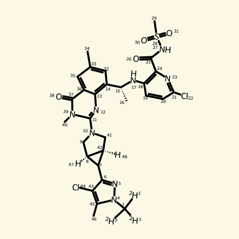 [2H]C([2H])([2H])n1nc(C2[C@H]3CN(c4nc5c([C@@H](C)Nc6ccc(Cl)nc6C(=O)NS(C)(=O)=O)cc(C)cc5c(=O)n4C)C[C@@H]23)c(Cl)c1C